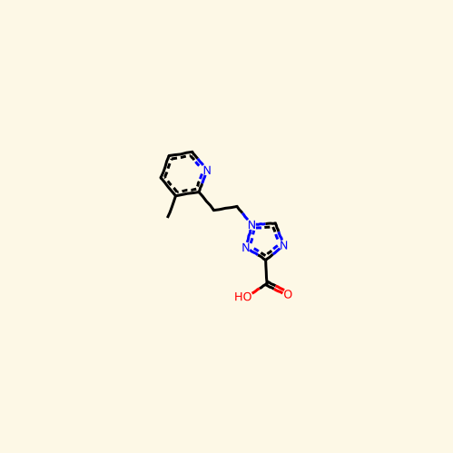 Cc1cccnc1CCn1cnc(C(=O)O)n1